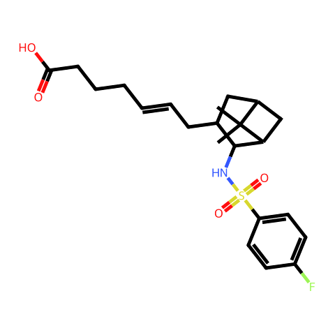 CC1(C)C2CC(CC=CCCCC(=O)O)C(NS(=O)(=O)c3ccc(F)cc3)C1C2